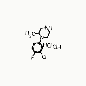 CC1CNCCN1c1ccc(F)c(Cl)c1.Cl.Cl